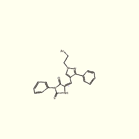 CC(=O)CCn1cc(/C=C2/NC(=S)N(c3ccccc3)C2=O)c(-c2ccccc2)n1